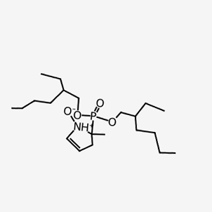 CCCCC(CC)COP(=O)(OCC(CC)CCCC)C1(C)CC=C[NH+]1[O-]